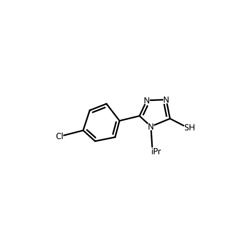 CC(C)n1c(S)nnc1-c1ccc(Cl)cc1